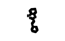 O=C(/C=C/c1ccccc1)Oc1ccccc1Br